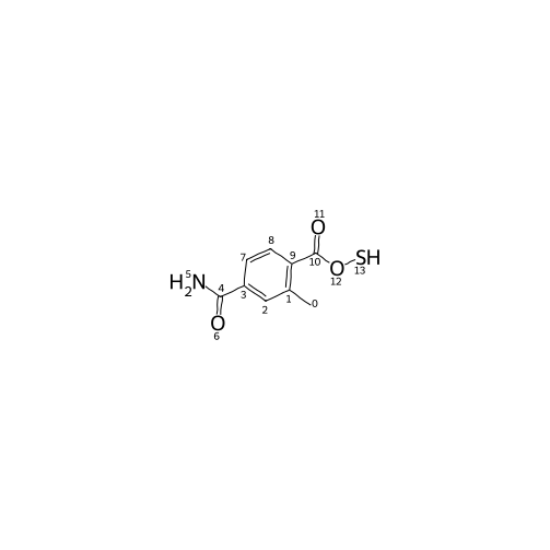 Cc1cc(C(N)=O)ccc1C(=O)OS